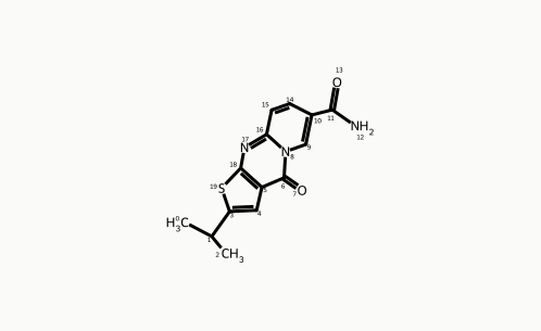 CC(C)c1cc2c(=O)n3cc(C(N)=O)ccc3nc2s1